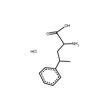 CC(CC(N)C(=O)O)c1ccccc1.Cl